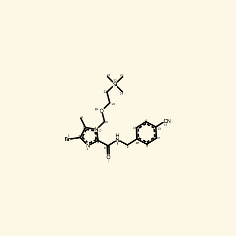 Cc1c(Br)nc(C(=O)NCc2ccc(C#N)cc2)n1COCC[Si](C)(C)C